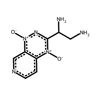 NCC(N)c1n[n+]([O-])c2cnccc2[n+]1[O-]